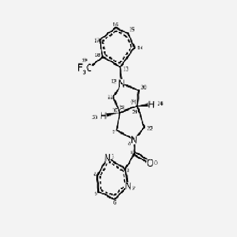 O=C(c1ncccn1)N1C[C@@H]2CN(c3ccccc3C(F)(F)F)C[C@@H]2C1